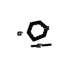 [CH3][Al+][CH3].[Cl-].c1ccncc1